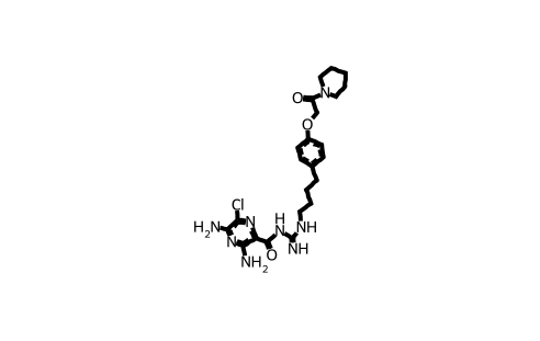 N=C(NCCCCc1ccc(OCC(=O)N2CCCCC2)cc1)NC(=O)c1nc(Cl)c(N)nc1N